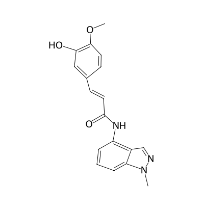 COc1ccc(C=CC(=O)Nc2cccc3c2cnn3C)cc1O